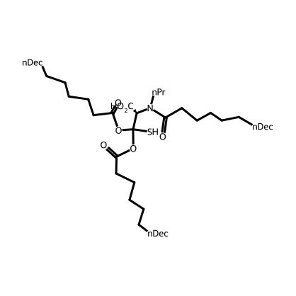 CCCCCCCCCCCCCCCC(=O)OC(S)(OC(=O)CCCCCCCCCCCCCCC)[C@@H](C(=O)O)N(CCC)C(=O)CCCCCCCCCCCCCCC